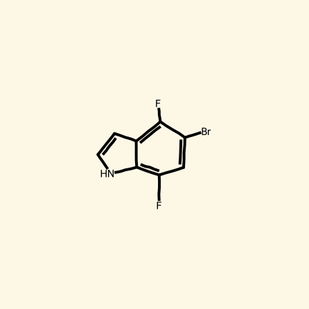 Fc1c(Br)cc(F)c2[nH]ccc12